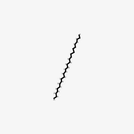 CCCCCCC[CH]CCCCCCCCCCCCCCCCCCC